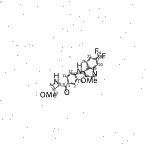 COc1cc(C(=O)C2NCC2OC)ccc1Nc1ccnc2cc(C(F)F)ccc12